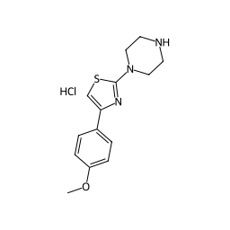 COc1ccc(-c2csc(N3CCNCC3)n2)cc1.Cl